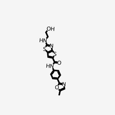 Cc1cnc(-c2ccc(NC(=O)c3cc4sc(NCCO)nc4s3)cc2)o1